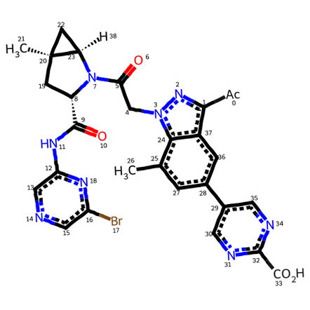 CC(=O)c1nn(CC(=O)N2[C@H](C(=O)Nc3cncc(Br)n3)C[C@@]3(C)C[C@@H]23)c2c(C)cc(-c3cnc(C(=O)O)nc3)cc12